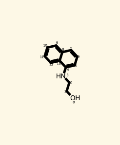 OCCNc1cccc2ccccc12